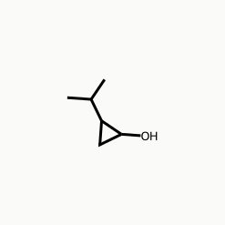 CC(C)C1CC1O